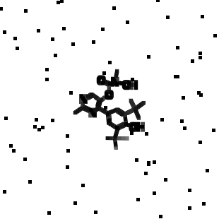 Cc1ncc(OC(=O)N(C)O)c(-c2cc(C(C)(C)C)c(O)c(C(C)(C)C)c2)n1